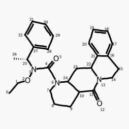 CCON(C(=O)N1CCCC2C(=O)N3CCc4ccccc4C3CC21)[C@H](C)c1ccccc1